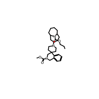 CCCOC(=O)N1C2CCCCC1CC(N1CCC3(CC1)CN(C(=O)OC)Cc1ccccc13)CC2